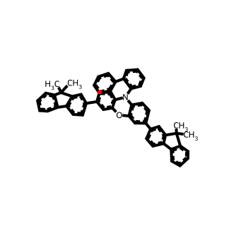 CC1(C)c2ccccc2-c2ccc(-c3ccc4c(c3)Oc3cc(-c5ccc6c(c5)C(C)(C)c5ccccc5-6)ccc3N4c3ccccc3-c3ccccc3)cc21